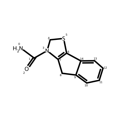 NC(=O)N1[CH]SC2=C1Cc1ccccc12